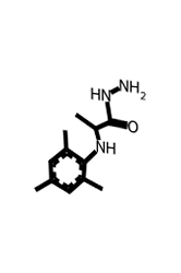 Cc1cc(C)c(NC(C)C(=O)NN)c(C)c1